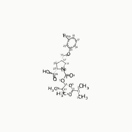 CC(C)C(=O)O[C@@H](OC(=O)N1C[C@@H](COc2cccc(F)c2)C[C@H]1C(=O)O)C(C)C